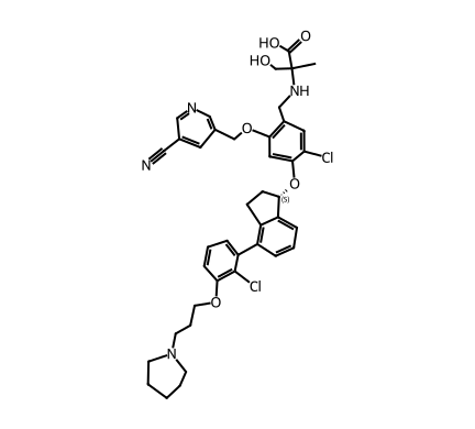 CC(CO)(NCc1cc(Cl)c(O[C@H]2CCc3c(-c4cccc(OCCCN5CCCCC5)c4Cl)cccc32)cc1OCc1cncc(C#N)c1)C(=O)O